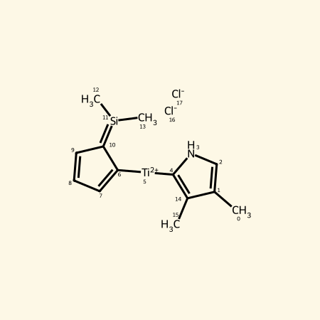 Cc1c[nH][c]([Ti+2][C]2=CC=CC2=[Si](C)C)c1C.[Cl-].[Cl-]